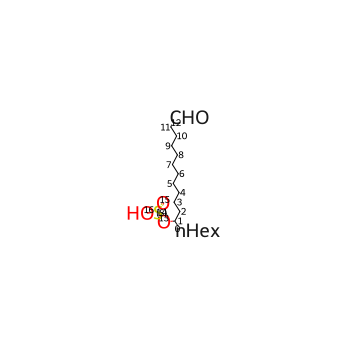 CCCCCCC(CCCCCCCCCCC=O)O[S@](=O)O